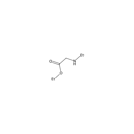 C[CH]NCC(=O)OCC